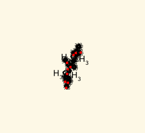 C[Si](C)(c1ccc(-c2c3ccccc3c(-c3ccc([Si](C)(C)c4cc5cccc6c(-c7ccccc7)cc7cccc4c7c56)cc3)c3cc(-c4ccccc4)ccc23)cc1)c1ccc2c3c1C=CC1=CC=C(c4ccccc4)C(=CC2)C13